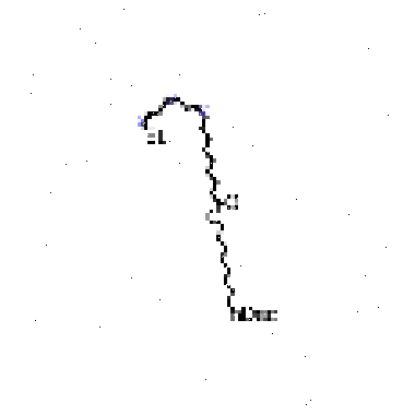 CC/C=C\C/C=C\C/C=C\CCCCCCCC(=O)OCCCCCCCCCCCCCCCCCC